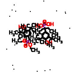 CCC(CC)(c1cc(C(C)(C)C)c(O)c(C(C)(C)C)c1)P(=O)(O)O.CCOP(=O)(Cc1cc(C(C)(C)C)c(O)c(C(C)(C)C)c1)OCC